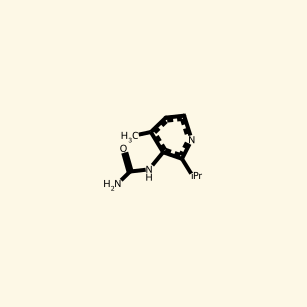 Cc1ccnc(C(C)C)c1NC(N)=O